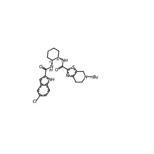 CCCCN1CCc2nc(C(=O)N[C@@H]3CCCC[C@@H]3NC(=O)c3cc4cc(Cl)ccc4[nH]3)sc2C1